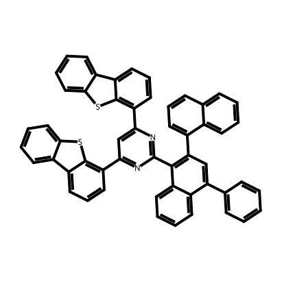 c1ccc(-c2cc(-c3cccc4ccccc34)c(-c3nc(-c4cccc5c4sc4ccccc45)cc(-c4cccc5c4sc4ccccc45)n3)c3ccccc23)cc1